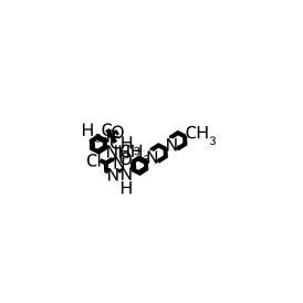 COc1cc(N2CCC(N3CCC(C)CC3)CC2)ccc1NC1=NC(Nc2ccccc2P(C)(C)=O)C(Cl)C=N1